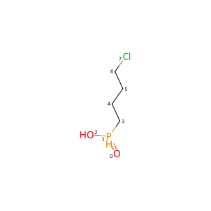 O=[PH](O)CCCCCl